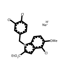 CCOC(=O)c1cc2c(Cl)c(OC)ccc2n1Cc1ccc(Cl)c(Cl)c1.[H-].[Na+]